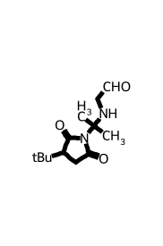 CC(C)(C)C1CC(=O)N(C(C)(C)NCC=O)C1=O